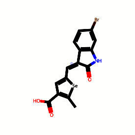 Cc1[se]c(/C=C2\C(=O)Nc3cc(Br)ccc32)cc1C(=O)O